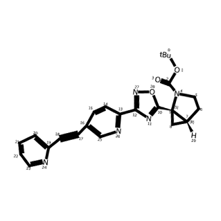 CC(C)(C)OC(=O)N1CC[C@@H]2C[C@@]21c1nc(-c2ccc(C#Cc3ccccn3)cn2)no1